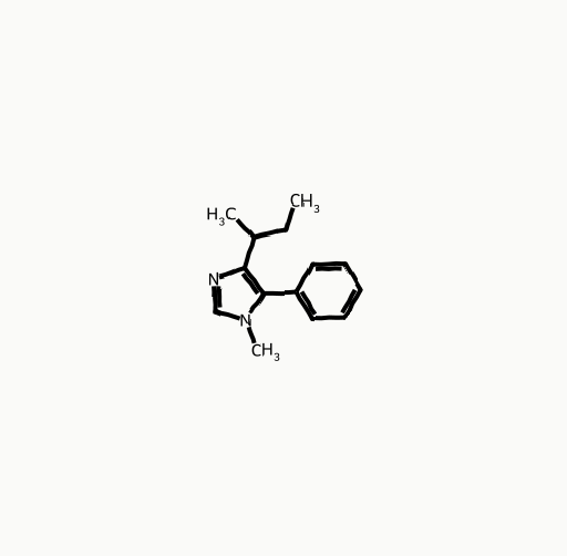 CCC(C)c1ncn(C)c1-c1ccccc1